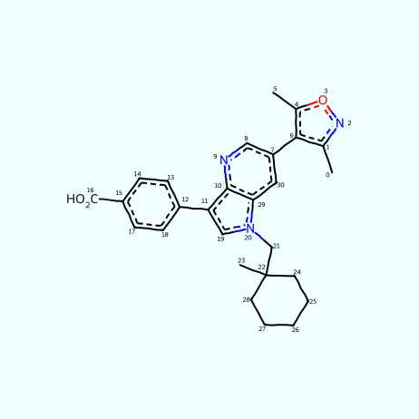 Cc1noc(C)c1-c1cnc2c(-c3ccc(C(=O)O)cc3)cn(CC3(C)CCCCC3)c2c1